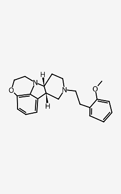 COc1ccccc1CCN1CC[C@@H]2[C@H](C1)c1cccc3c1N2CCO3